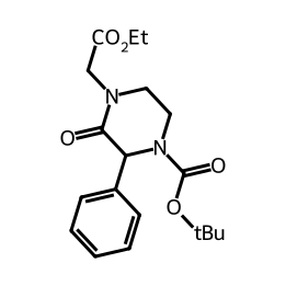 CCOC(=O)CN1CCN(C(=O)OC(C)(C)C)C(c2ccccc2)C1=O